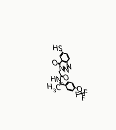 C[C@H](NC(=O)Cn1nnc2ccc(S)cc2c1=O)c1ccc(OC(F)(F)F)cc1